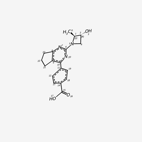 C[C@H]1[C@H](O)CN1c1nc2c(c(-c3ccc(C(=O)O)cc3)n1)CCC2